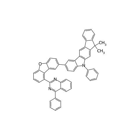 CC1(C)c2ccccc2-c2cc3c4cc(-c5ccc6oc7cccc(-c8nc(-c9ccccc9)c9ccccc9n8)c7c6c5)ccc4n(-c4ccccc4)c3cc21